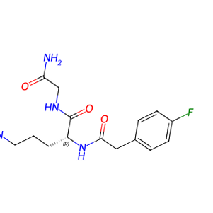 NCCC[C@@H](NC(=O)Cc1ccc(F)cc1)C(=O)NCC(N)=O